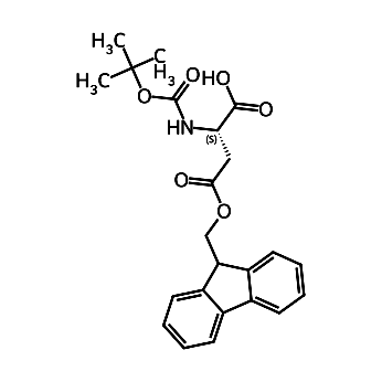 CC(C)(C)OC(=O)N[C@@H](CC(=O)OCC1c2ccccc2-c2ccccc21)C(=O)O